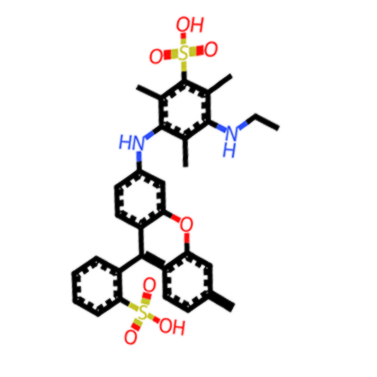 C=c1ccc2c(c1)Oc1cc(Nc3c(C)c(NCC)c(C)c(S(=O)(=O)O)c3C)ccc1C=2c1ccccc1S(=O)(=O)O